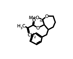 C=C(C)C(=O)OC1C(Cc2ccccc2)CCCO[C@@H]1OC